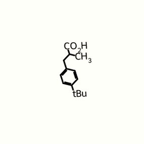 CC(Cc1ccc(C(C)(C)C)cc1)C(=O)O